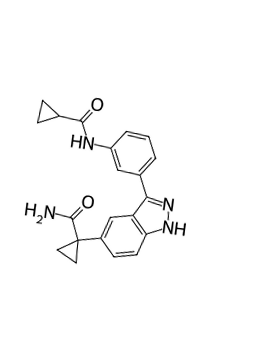 NC(=O)C1(c2ccc3[nH]nc(-c4cccc(NC(=O)C5CC5)c4)c3c2)CC1